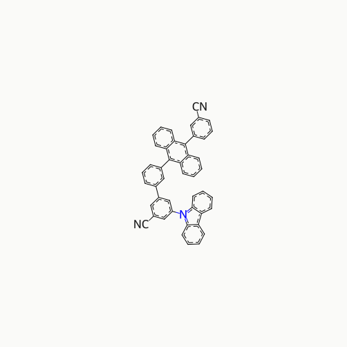 N#Cc1cccc(-c2c3ccccc3c(-c3cccc(-c4cc(C#N)cc(-n5c6ccccc6c6ccccc65)c4)c3)c3ccccc23)c1